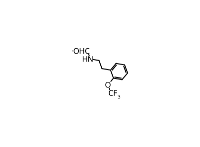 O=[C]NCCc1ccccc1OC(F)(F)F